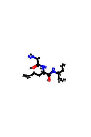 CC(C)C[C@H](NC(=O)[C@@H](CCC(=O)O)NC(=O)CN)C(=O)O